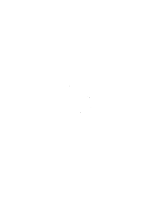 O=C1N=C(O)C(c2ccccc2)=N1